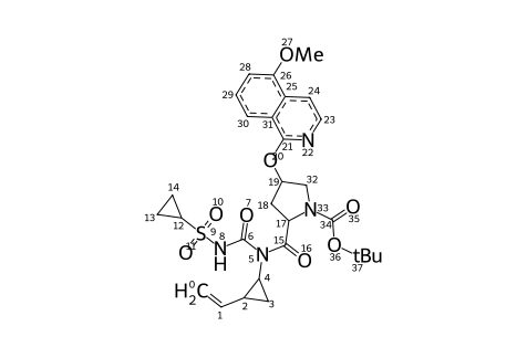 C=CC1CC1N(C(=O)NS(=O)(=O)C1CC1)C(=O)C1CC(Oc2nccc3c(OC)cccc23)CN1C(=O)OC(C)(C)C